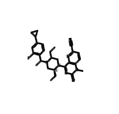 CCC1CN(c2nc(=O)n(C)c3ccc(C#N)nc23)[C@@H](CC)CN1C(C)c1ccc(C2CC2)cc1F